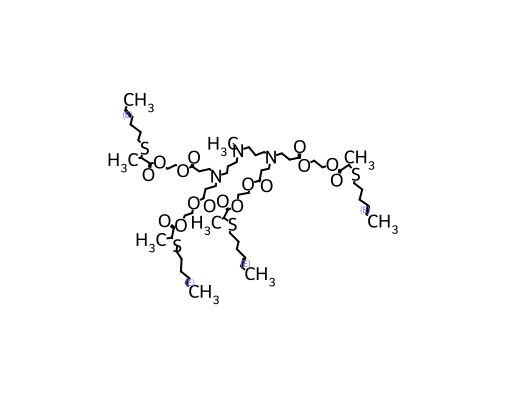 C/C=C/CCCSC(C)C(=O)OCCOC(=O)CCN(CCCN(C)CCCN(CCC(=O)OCCOC(=O)C(C)SCCC/C=C/C)CCC(=O)OCCOC(=O)C(C)SCCC/C=C/C)CCC(=O)OCCOC(=O)C(C)SCCC/C=C/C